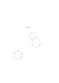 O=[N+]([O-])c1cc2c(NCc3ccccc3)nc(Cl)nc2s1